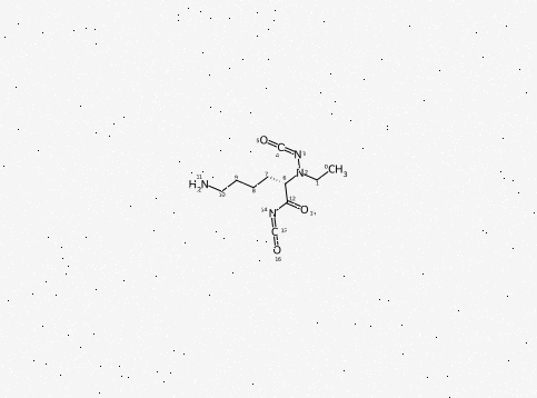 CCN(N=C=O)[C@@H](CCCCN)C(=O)N=C=O